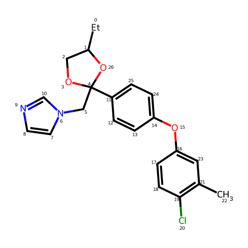 CCC1COC(Cn2ccnc2)(c2ccc(Oc3ccc(Cl)c(C)c3)cc2)O1